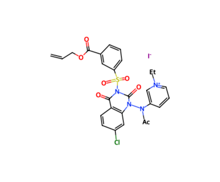 C=CCOC(=O)c1cccc(S(=O)(=O)n2c(=O)c3ccc(Cl)cc3n(N(C(C)=O)c3ccc[n+](CC)c3)c2=O)c1.[I-]